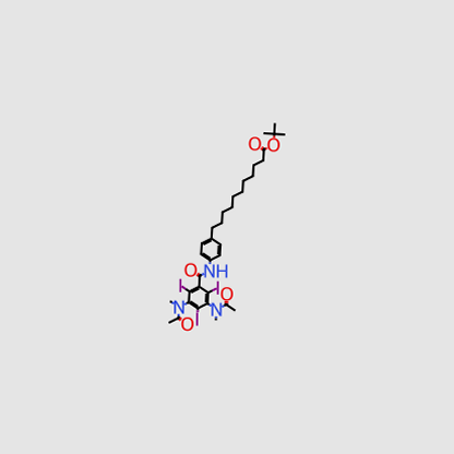 CC(=O)N(C)c1c(I)c(C(=O)Nc2ccc(CCCCCCCCCCC(=O)OC(C)(C)C)cc2)c(I)c(N(C)C(C)=O)c1I